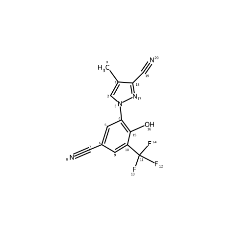 Cc1cn(-c2cc(C#N)cc(C(F)(F)F)c2O)nc1C#N